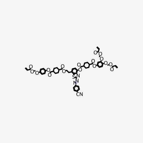 C=CC(=O)OCOc1ccc(OC(=O)C2CCC(C(=O)OCCc3ccc(OC(=O)C4CCC(C(=O)Oc5ccc(OCOC(=O)C=C)c(OCOC(=O)C=C)c5)CC4)c4nc(/N=N/c5ccc(C#N)cc5)sc34)CC2)cc1